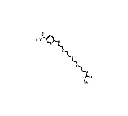 CC(C)(C)OC(=O)NCCOCCOCCOCCNc1ncc(B(O)O)cn1